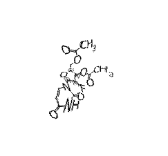 CC(=O)OC[C@@H]1O[C@H](n2ccc(=O)[nH]c2=O)[C@H](F)[C@@H]1OC(C)=O